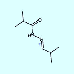 CC(C)/C=N/NC(=O)C(C)C